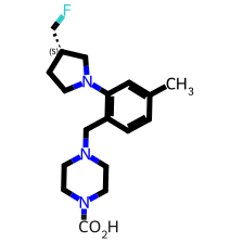 Cc1ccc(CN2CCN(C(=O)O)CC2)c(N2CC[C@H](CF)C2)c1